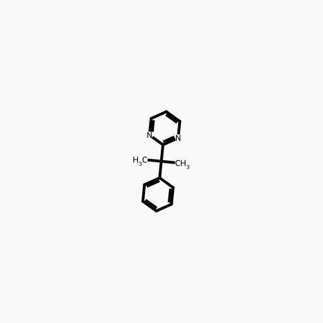 CC(C)(c1ccccc1)c1ncccn1